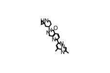 Cc1cn2nc(-c3ccc4c(=O)n([C@@H]5CCNC6(CC6)C5)ncc4n3)cc(C)c2n1